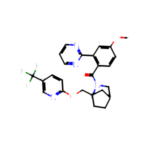 COc1ccc(C(=O)N2CC3CCC2(COc2ccc(C(F)(F)F)cn2)C3)c(-c2ncccn2)c1